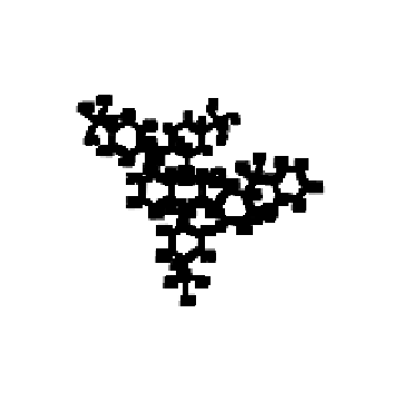 CC(C)(C)C1=CC=C2C(C1)B1c3oc4c5c(ccc4c3N(c3ccc(C(C)(C)C)cc3)c3cccc(c31)N2C1=CCC(C(C)(C)C)C=C1)Oc1ccccc1C5(C)C